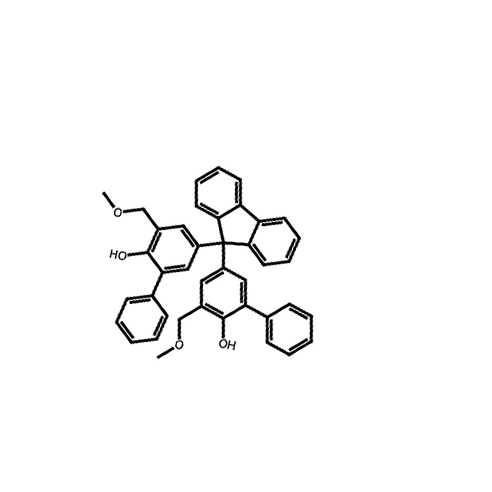 COCc1cc(C2(c3cc(COC)c(O)c(-c4ccccc4)c3)c3ccccc3-c3ccccc32)cc(-c2ccccc2)c1O